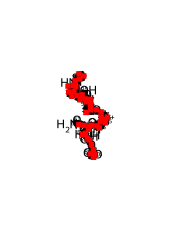 Cc1c(Nc2nc3ccccc3s2)nnc2c1CCCN2c1ccc(-c2cnn(CC34CC5CC(C3)CC(OCCN3CC[N+](C)(Cc6ccc(NC(=O)[C@H](CCCNC(N)=O)NC(=O)[C@@H](NC(=O)CCOCCN7C(=O)C=CC7=O)C(C)C)cc6)CC3)(C5)C4)c2C)c(C(=O)O)n1